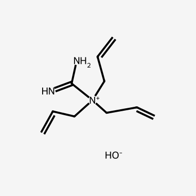 C=CC[N+](CC=C)(CC=C)C(=N)N.[OH-]